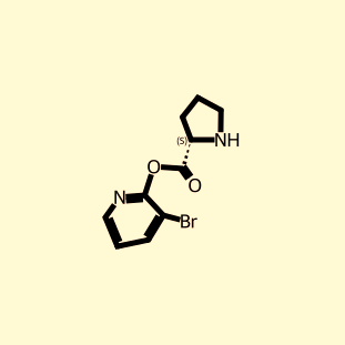 O=C(Oc1ncccc1Br)[C@@H]1CCCN1